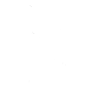 COc1cc(O)c(C(CC(=O)N2CCCC(C#N)C2)c2ccc3c(c2)OCO3)c(OC)c1